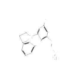 CC(=O)c1cc(SOON)c(Oc2ccccc2)c(N2CCCC2)c1